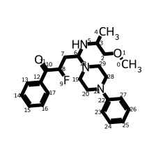 COCC(C)NC(CC(F)C(=O)c1ccccc1)N1CCN(c2ccccc2)CC1